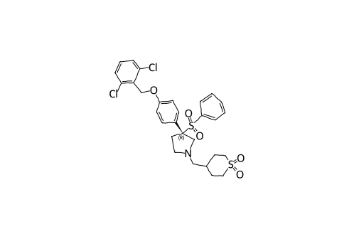 O=S1(=O)CCC(CN2CC[C@](c3ccc(OCc4c(Cl)cccc4Cl)cc3)(S(=O)(=O)c3ccccc3)C2)CC1